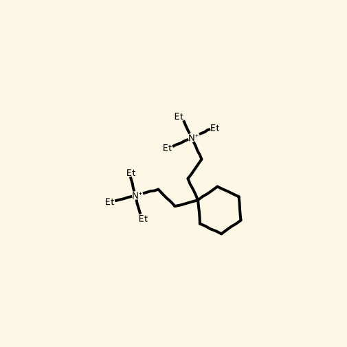 CC[N+](CC)(CC)CCC1(CC[N+](CC)(CC)CC)CCCCC1